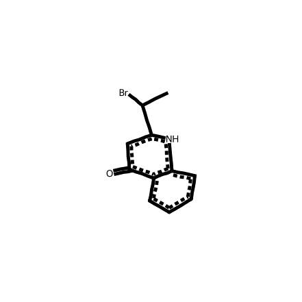 CC(Br)c1cc(=O)c2ccccc2[nH]1